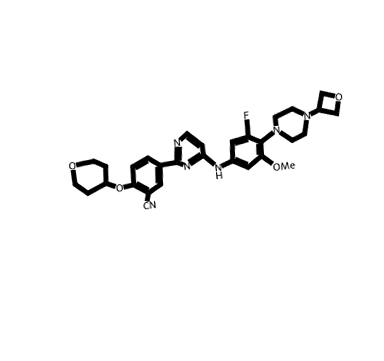 COc1cc(Nc2ccnc(-c3ccc(OC4CCOCC4)c(C#N)c3)n2)cc(F)c1N1CCN(C2COC2)CC1